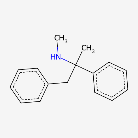 CNC(C)(Cc1ccccc1)c1ccccc1